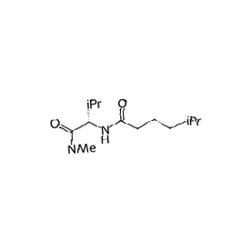 CNC(=O)[C@@H](NC(=O)CCCC(C)C)C(C)C